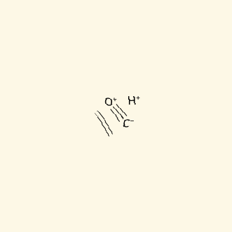 C=C.[C-]#[O+].[H+]